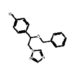 Clc1ccc(C(Cn2cncn2)OCc2ccccc2)cc1